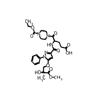 CCOC(=O)N1CCN(C(=O)C(CCC(=O)O)NC(=O)c2cc(OC[C@](C)(O)C(=O)OC)n(-c3ccccc3)n2)CC1